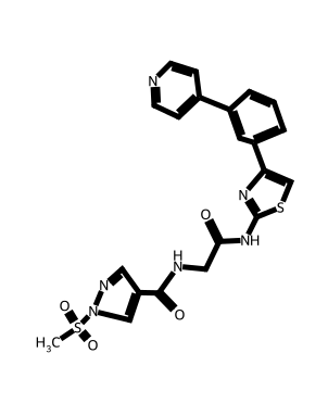 CS(=O)(=O)n1cc(C(=O)NCC(=O)Nc2nc(-c3cccc(-c4ccncc4)c3)cs2)cn1